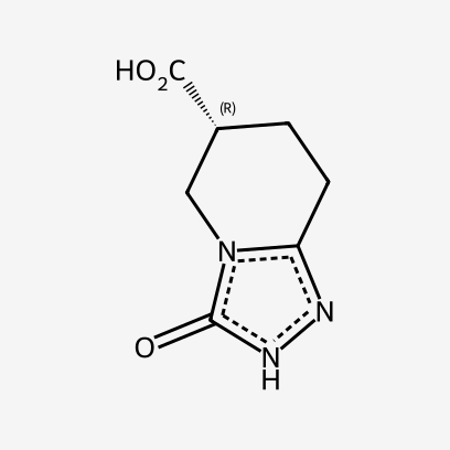 O=C(O)[C@@H]1CCc2n[nH]c(=O)n2C1